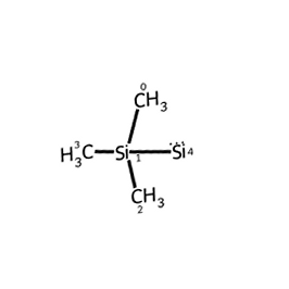 C[Si](C)(C)[Si]